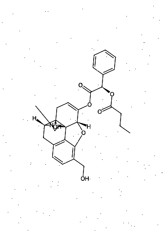 CCCC(=O)O[C@@H](C(=O)OC1=CC[C@@]2(O)[C@H]3Cc4ccc(CO)c5c4[C@@]2(CCN3C)[C@H]1O5)c1ccccc1